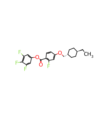 CC[C@H]1CC[C@H](COc2ccc(C(=O)Oc3cc(F)c(F)c(F)c3)c(F)c2)CC1